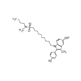 CCCCN(C)S(=O)(=O)CCCCCCCCCCn1c(-c2ccc(O)cc2)c(C)c2cc(O)ccc21